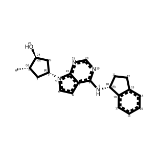 [CH2][C@H]1C[C@@H](n2ccc3c(N[C@@H]4CCc5ccccc54)ncnc32)C[C@@H]1O